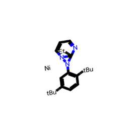 CCC12N=CC=CN1N2c1cc(C(C)(C)C)ccc1C(C)(C)C.[Ni]